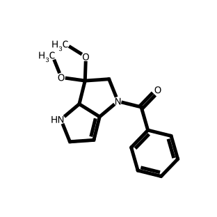 COC1(OC)CN(C(=O)c2ccccc2)C2=CCNC21